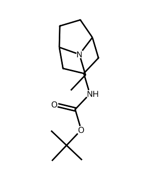 CCN1C2CCC1CC(NC(=O)OC(C)(C)C)C2